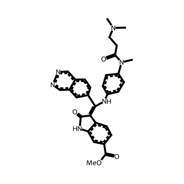 COC(=O)c1ccc2c(c1)NC(=O)C2=C(Nc1ccc(N(C)C(=O)CCN(C)C)cc1)c1ccc2cnncc2c1